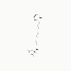 CC(C)CC(C)(C(=O)OCCOCCOCCCn1c(=O)cc[nH]c1=S)C(C)C